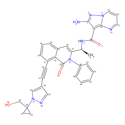 C[C@H](NC(=O)c1c(N)nn2cccnc12)c1cc2cccc(C#Cc3cnn(C4(CO)CC4)c3)c2c(=O)n1-c1ccccc1